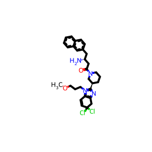 COCCCn1c([C@@H]2CCCN(C(=O)C[C@H](N)Cc3ccc4ccccc4c3)C2)nc2c1C=CC(Cl)(Cl)C2